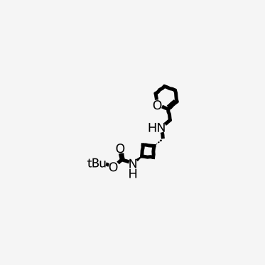 CC(C)(C)OC(=O)N[C@H]1C[C@H](CNCC2=CCCCO2)C1